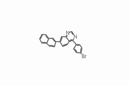 Brc1ccc(-c2ncnc3cc(-c4ccc5ccccc5c4)ccc23)cc1